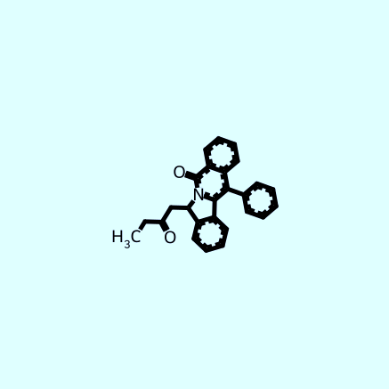 CCC(=O)CC1c2ccccc2-c2c(-c3ccccc3)c3ccccc3c(=O)n21